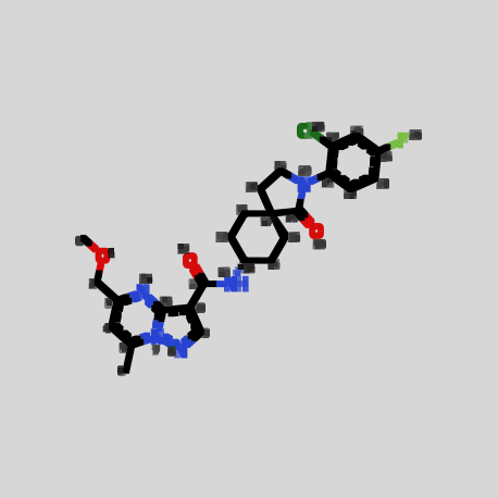 COCc1cc(C)n2ncc(C(=O)N[C@H]3CC[C@]4(CCN(c5ccc(F)cc5Cl)C4=O)CC3)c2n1